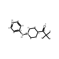 CC(C)(C)C(=O)C1CCN(Sc2ccncc2)CC1